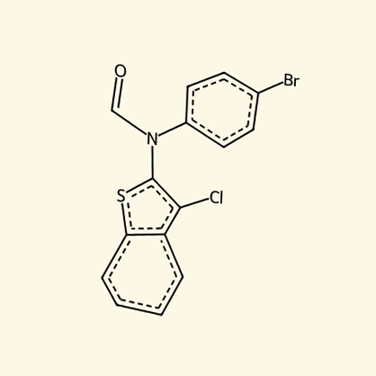 O=CN(c1ccc(Br)cc1)c1sc2ccccc2c1Cl